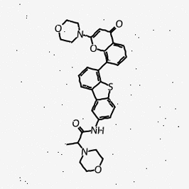 CC(C(=O)Nc1ccc2sc3c(-c4cccc5c(=O)cc(N6CCOCC6)oc45)cccc3c2c1)N1CCOCC1